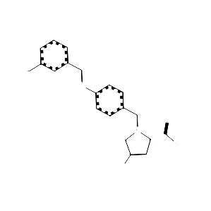 NC(=O)[C@@H]1CC(O)CN1Cc1ccc(OCc2cccc(Cl)c2)cc1